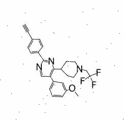 C#Cc1ccc(-c2ncc(-c3cccc(OC)c3)c(C3CCN(CC(F)(F)F)CC3)n2)cc1